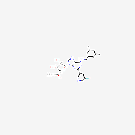 CNC(=O)[C@H]1O[C@H](n2cnc3c(NCc4cc(C)cc(C)c4)nc(-c4cncc(F)c4)nc32)[C@H](O)[C@@H]1O